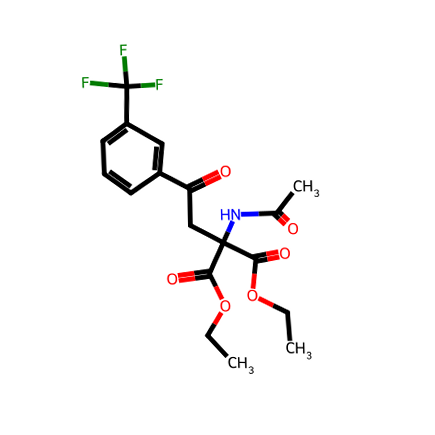 CCOC(=O)C(CC(=O)c1cccc(C(F)(F)F)c1)(NC(C)=O)C(=O)OCC